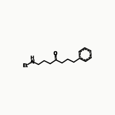 C[CH2][AlH][CH2]CCC(=O)CCCc1ccccc1